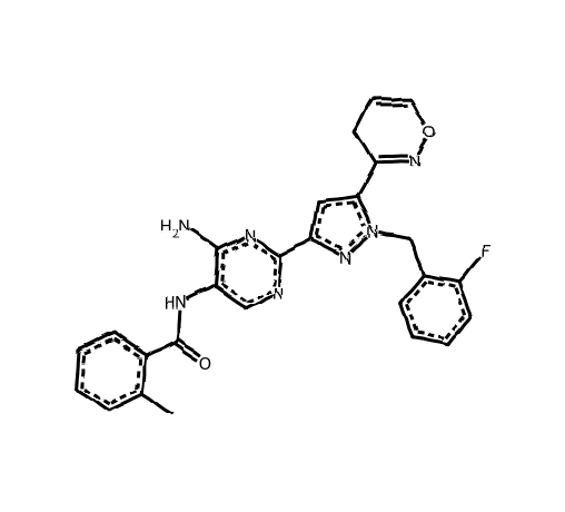 Cc1ccccc1C(=O)Nc1cnc(-c2cc(C3=NOC=CC3)n(Cc3ccccc3F)n2)nc1N